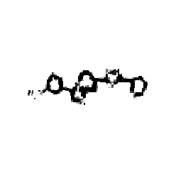 Nc1cccc(-c2cnc3cc(-c4nnc(C5CCCO5)s4)ccn23)c1